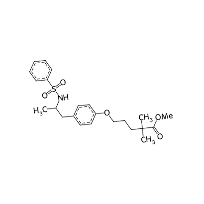 COC(=O)C(C)(C)CCCOc1ccc(CC(C)NS(=O)(=O)c2ccccc2)cc1